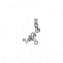 Nc1nc(Cc2ccccc2)c2nc(-c3ccnc(N4CCNCC4)c3)ccc2n1